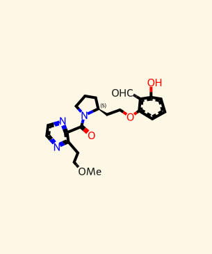 COCCc1nccnc1C(=O)N1CCC[C@H]1CCOc1cccc(O)c1C=O